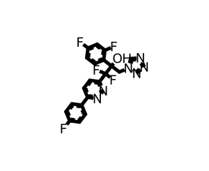 OC(Cn1cnnn1)(c1ccc(F)cc1F)C(F)(F)c1ccc(-c2ccc(F)cc2)nn1